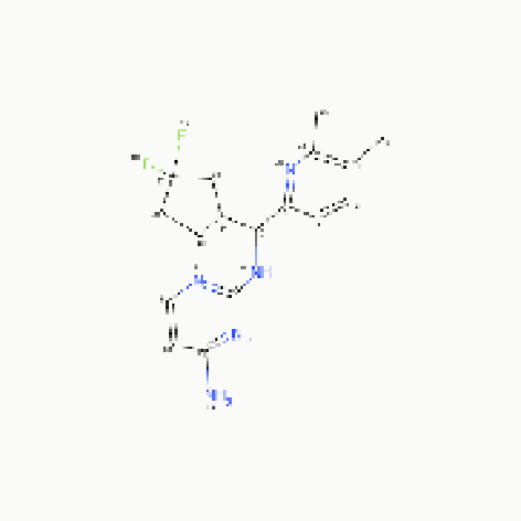 Cc1ccc(C(Nc2nccc(N)n2)C2CCC(F)(F)C2)nc1C